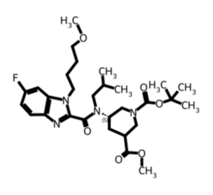 COCCCCn1c(C(=O)N(CC(C)C)[C@H]2CC(C(=O)OC)CN(C(=O)OC(C)(C)C)C2)nc2ccc(F)cc21